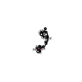 CN[C@@H](C)C(=O)N[C@H]1CCCC[C@H]2CC[C@@H](C(=O)N[C@@H](c3ccccc3)c3ccc(CCCn4cc(COCc5cn(CCCc6ccc([C@@H](NC(=O)[C@@H]7CC[C@@H]8CCCC[C@H](NC(=O)[C@H](C)NC)C(=O)N87)c7ccccc7)cc6)nn5)nn4)cc3)N2C1=O